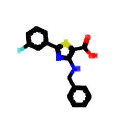 O=C(O)c1sc(-c2cccc(F)c2)nc1NCc1ccccc1